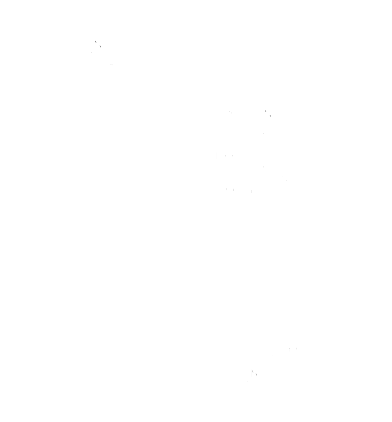 N=C(CC(C(=O)OC(=O)CCCCCCC(N)=O)(S(=O)(=O)O)S(=O)(=O)O)OC(=O)CCCCCCC(N)=O